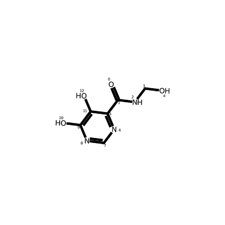 O=C(NCO)c1ncnc(O)c1O